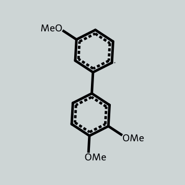 COc1cc[c]c(-c2ccc(OC)c(OC)c2)c1